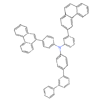 c1ccc(-c2cccc(-c3ccc(N(c4ccc(-c5cc6ccccc6c6ccccc56)cc4)c4cccc(-c5ccc6ccc7ccccc7c6c5)c4)cc3)c2)cc1